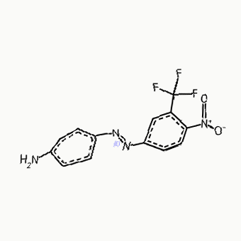 Nc1ccc(/N=N/c2ccc([N+](=O)[O-])c(C(F)(F)F)c2)cc1